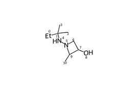 CCC(C)(C)NN1CC(O)C1C